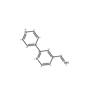 N=[C]c1ccnc(-c2ccncc2)c1